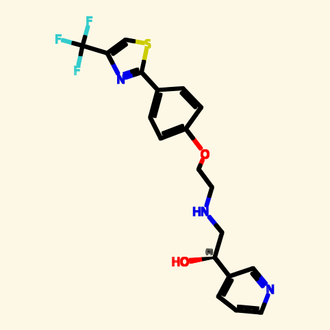 O[C@@H](CNCCOc1ccc(-c2nc(C(F)(F)F)cs2)cc1)c1cccnc1